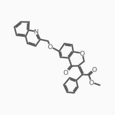 COC(=O)C(=C1COc2ccc(OCc3ccc4ccccc4n3)cc2C1=O)c1ccccc1